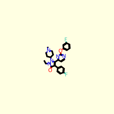 CCn1c(=O)c(-c2ccc(F)cc2)c(-c2ccnc(Oc3cccc(F)c3)n2)n1C1CCN(C)CC1